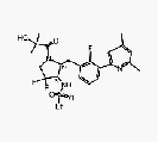 CCS(=O)(=O)N[C@@H]1[C@H](Cc2cccc(-c3cc(C)cc(C)n3)c2F)N(C(=O)C(C)(C)O)CC1(F)F